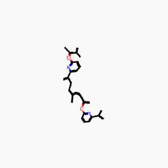 CC(CCC(C)c1cccc(OC(C)C(C)C)n1)CC(C)Oc1cccc(C(C)C)n1